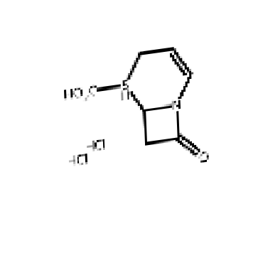 Cl.Cl.O=C1CC2N1C=CC[SH]2C(=O)O